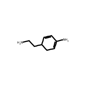 NCCC1C=CC(N)=CC1